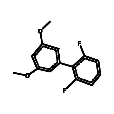 COc1[c]c(-c2c(F)cccc2F)cc(OC)c1